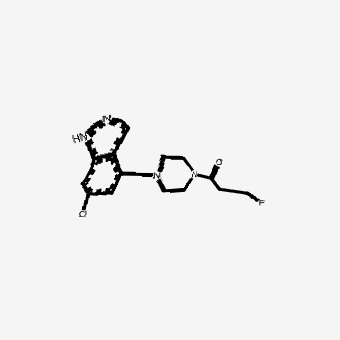 O=C(CCF)N1CCN(c2cc(Cl)cc3[nH]ncc23)CC1